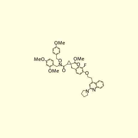 COC(=O)[C@@]1(Cc2ccc(OCCc3cc(N4CCCC4)nc4ccccc34)c(F)c2)CC1C(=O)N(Cc1ccc(OC)cc1OC)OCc1ccc(OC)cc1